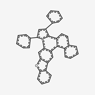 c1ccc(-c2cc(-c3ccccc3)n3c4cc5oc6ccccc6c5cc4c4c5ccccc5ccc4c23)cc1